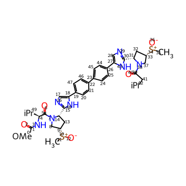 COC(=O)N[C@H](C(=O)N1C[C@@H]([S+](C)[O-])C[C@H]1c1ncc(-c2ccc(-c3ccc(-c4cnc([C@@H]5C[C@H]([S+](C)[O-])CN5C(=O)CC(C)C)[nH]4)cc3)cc2)[nH]1)C(C)C